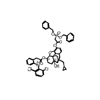 O=C(CP(=O)(OCc1ccccc1)OCc1ccccc1)OC1=C2OC3[C@H](OC(=O)Cc4ccccc4Nc4c(Cl)cccc4Cl)CC[C@@]4(O)C5CC(C=C1)C2C34CCN5CC1CC1